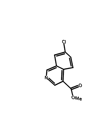 COC(=O)c1cncc2cc(Cl)ccc12